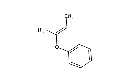 CC=C(C)Oc1cc[c]cc1